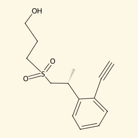 C#Cc1ccccc1[C@@H](C)CS(=O)(=O)CCCO